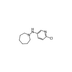 Clc1ccc(NN2CCCCCC2)cn1